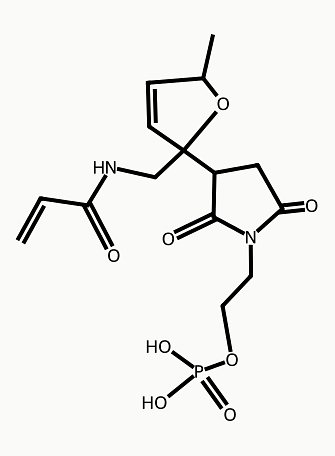 C=CC(=O)NCC1(C2CC(=O)N(CCOP(=O)(O)O)C2=O)C=CC(C)O1